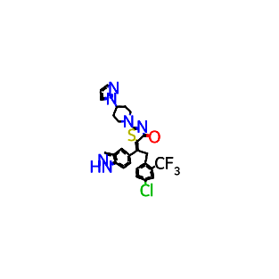 O=C1N=C(N2CCC(n3cccn3)CC2)SC1=C(Cc1ccc(Cl)cc1C(F)(F)F)c1ccc2[nH]ncc2c1